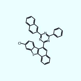 Clc1ccc2c(c1)sc1c3ccccc3cc(-c3nc(-c4ccccc4)nc(-c4ccc5ccccc5c4)n3)c21